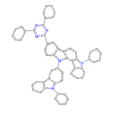 c1ccc(-c2nc(-c3ccccc3)nc(-c3ccc4c(c3)c3ccc5c(c6ccccc6n5-c5ccccc5)c3n4-c3ccc4c(c3)c3ccccc3n4-c3ccccc3)n2)cc1